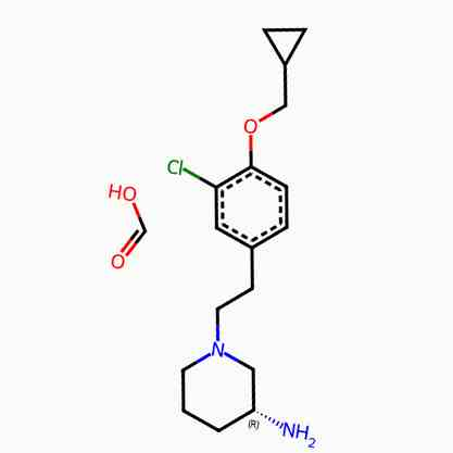 N[C@@H]1CCCN(CCc2ccc(OCC3CC3)c(Cl)c2)C1.O=CO